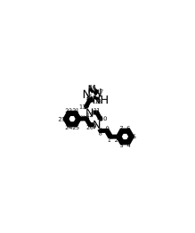 C(=Cc1ccccc1)CN1CCN(Cc2nnn[nH]2)C(c2ccccc2)C1